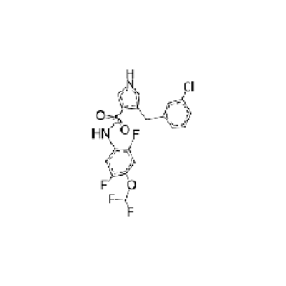 O=S(=O)(Nc1cc(F)c(OC(F)F)cc1F)c1c[nH]cc1Cc1cccc(Cl)c1